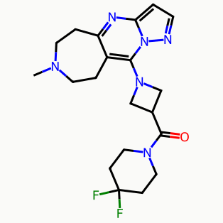 CN1CCc2nc3ccnn3c(N3CC(C(=O)N4CCC(F)(F)CC4)C3)c2CC1